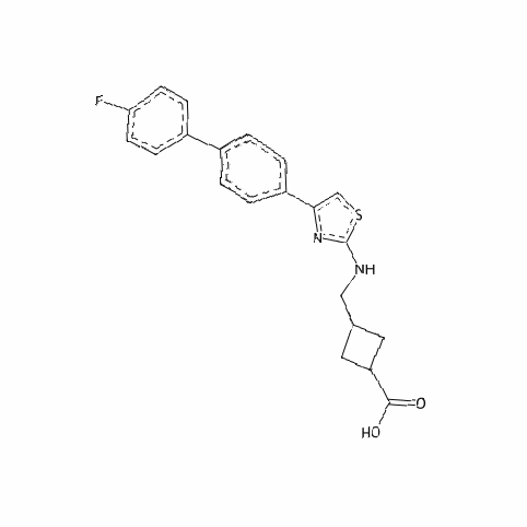 O=C(O)C1CC(CNc2nc(-c3ccc(-c4ccc(F)cc4)cc3)cs2)C1